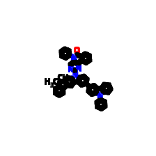 CC1(C)c2ccccc2-c2cc3c4cc(-c5ccc6c(c5)c5ccccc5n6-c5ccccc5)ccc4n(-c4ncc5c(n4)c4ccccc4c(=O)n5-c4ccccc4)c3cc21